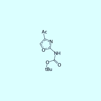 CC(=O)c1coc(NC(=O)OC(C)(C)C)n1